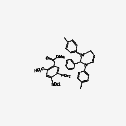 CCCCCCCCc1cc(C(=O)O)c(C(=O)OC)cc1CCCCCCCC.Cc1ccc(N2C=CCN(c3ccc(C)cc3)C2c2ccccc2)cc1